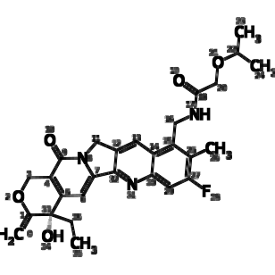 C=C1OCc2c(cc3n(c2=O)Cc2cc4c(CNC(=O)COC(C)C)c(C)c(F)cc4nc2-3)[C@@]1(O)CC